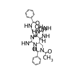 CC(=O)N(CC1NC(=N)N2CC(NC(=O)c3ccccc3)C(O)(O)[C@@]23NC(=N)N[C@@H]13)C(=O)c1ccccc1